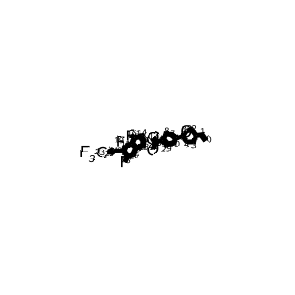 C=CC1CCC(c2ccc(C(=O)Oc3cc(F)c4c(F)c(C#CC(F)(F)F)c(F)cc4c3)cc2)OC1